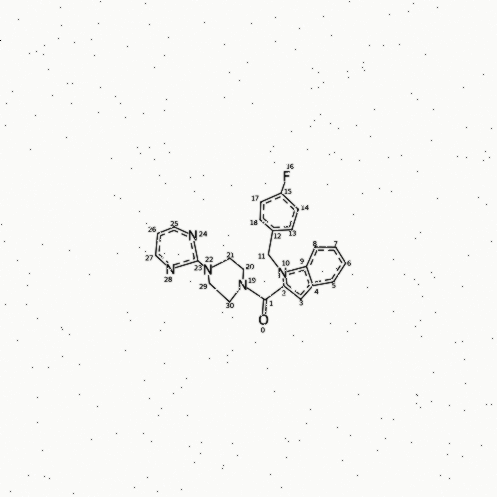 O=C(c1cc2ccccc2n1Cc1ccc(F)cc1)N1CCN(c2ncccn2)CC1